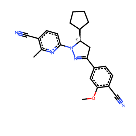 COc1cc(C2=NN(c3ccc(C#N)c(C)n3)[C@@H](C3CCCC3)C2)ccc1C#N